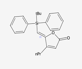 CCCC1=CC(=O)O/C1=C\[Si](c1ccccc1)(c1ccccc1)C(C)(C)C